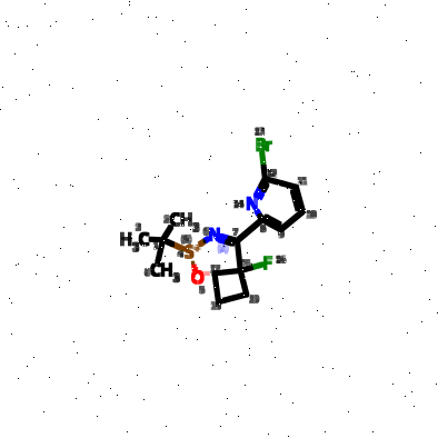 CC(C)(C)[S@@+]([O-])/N=C(/c1cccc(Br)n1)C1(F)CCC1